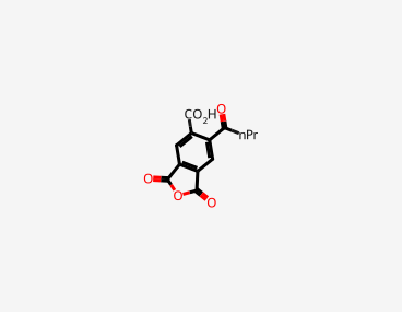 CCCC(=O)c1cc2c(cc1C(=O)O)C(=O)OC2=O